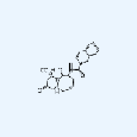 O=C1C[C@@H]2C/C=C\C[C@H](NC(=O)c3ccc4ccccc4c3)C(=O)N2[C@H](C(=O)O)C1